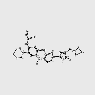 C=CC(=O)Nc1cc(Nc2nccc(-n3cc(CN4CCC4)c(C)n3)n2)c(OC)cc1N1CCCCC1